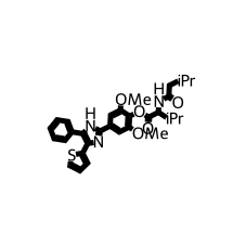 COc1cc(-c2nc(-c3cccs3)c(-c3ccccc3)[nH]2)cc(OC)c1OC(=O)C(NC(=O)CC(C)C)C(C)C